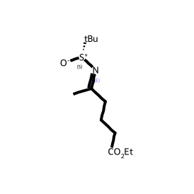 CCOC(=O)CCC/C(C)=N/[S@+]([O-])C(C)(C)C